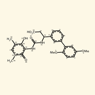 COc1ccc(OC)c(-c2cccc(C(CC(=O)O)NC(=O)Nc3c(O)c(C)cn(C)c3=O)c2)c1